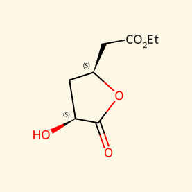 CCOC(=O)C[C@@H]1C[C@H](O)C(=O)O1